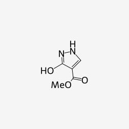 COC(=O)c1c[nH]nc1O